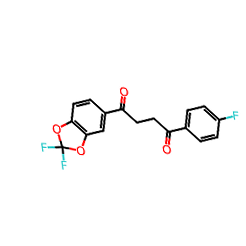 O=C(CCC(=O)c1ccc2c(c1)OC(F)(F)O2)c1ccc(F)cc1